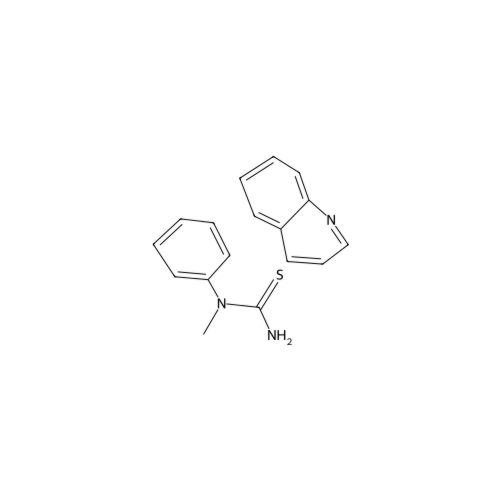 CN(C(N)=S)c1ccccc1.c1ccc2ncccc2c1